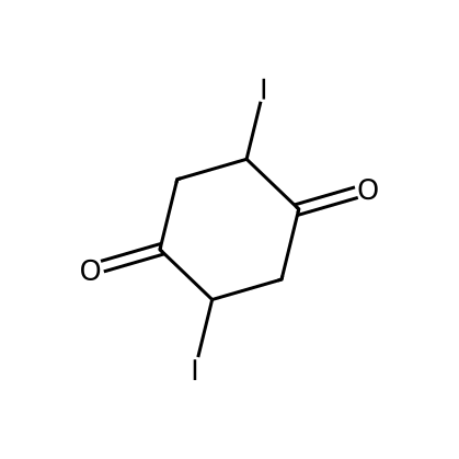 O=C1CC(I)C(=O)CC1I